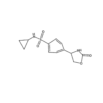 O=C1NC(c2ccc(S(=O)(=O)NC3CC3)cc2)CO1